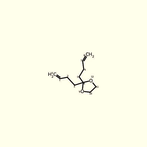 C=CCCC1(CCC=C)OCCO1